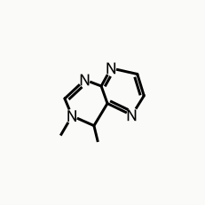 CC1c2nccnc2N=CN1C